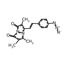 Cc1c(C)n2c(/C=C/c3ccc(N=[N+]=[N-])cc3)c(C)c(=O)n2c1=O